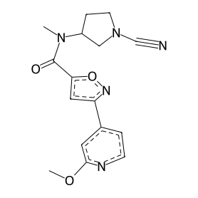 COc1cc(-c2cc(C(=O)N(C)C3CCN(C#N)C3)on2)ccn1